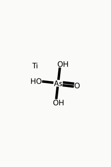 O=[As](O)(O)O.[Ti]